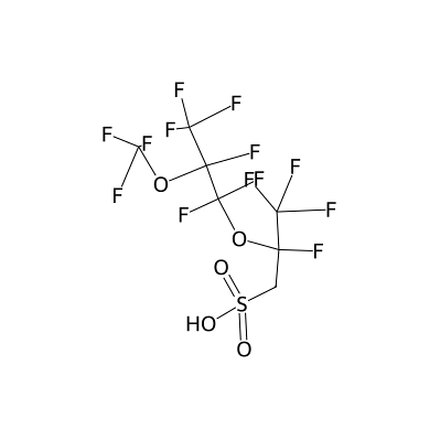 O=S(=O)(O)CC(F)(OC(F)(F)C(F)(OC(F)(F)F)C(F)(F)F)C(F)(F)F